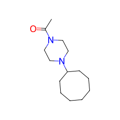 CC(=O)N1CCN(C2CCCCCCC2)CC1